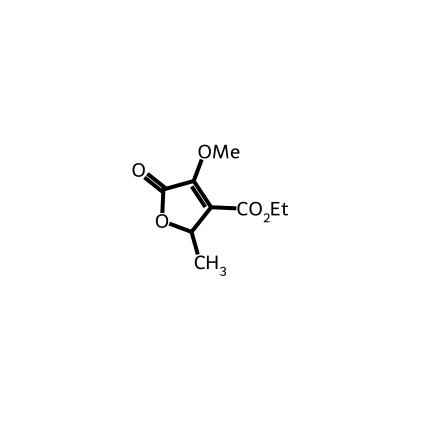 CCOC(=O)C1=C(OC)C(=O)OC1C